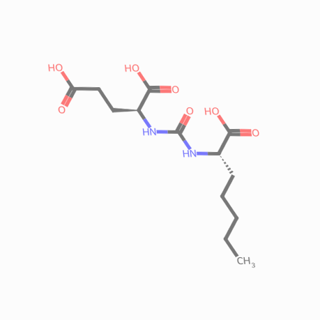 CCCCC[C@H](NC(=O)N[C@@H](CCC(=O)O)C(=O)O)C(=O)O